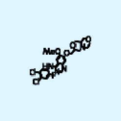 COc1cc2c(Nc3cc(Cl)c(Cl)cc3F)ncnc2cc1OCC1CN2CCOCC2CO1